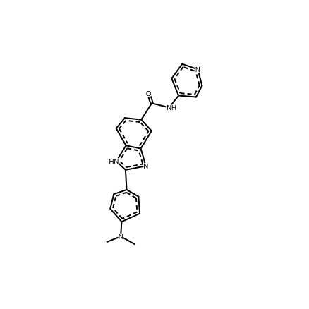 CN(C)c1ccc(-c2nc3cc(C(=O)Nc4ccncc4)ccc3[nH]2)cc1